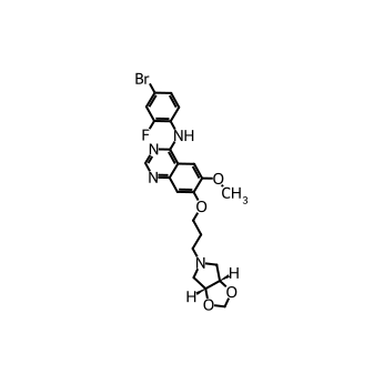 COc1cc2c(Nc3ccc(Br)cc3F)ncnc2cc1OCCCN1C[C@@H]2OCO[C@@H]2C1